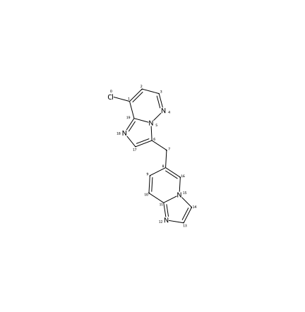 Clc1ccnn2c(Cc3ccc4nccn4c3)cnc12